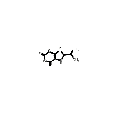 CC(C)C1Nc2[nH]c(=O)[nH]c(=O)c2N1